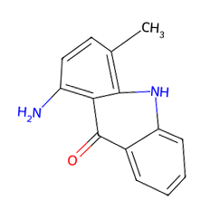 Cc1ccc(N)c2c(=O)c3ccccc3[nH]c12